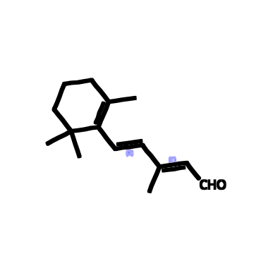 CC1=C(/C=C/C(C)=C/C=O)C(C)(C)CCC1